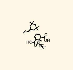 CC1(N=[N+]=[N-])C(C(=O)O)=CC=CC1C(=O)O.CCC=C1CC(C)(C)CC(C)(C)C1